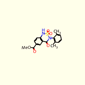 COC(=O)c1ccc2c(c1)C(=O)N(c1c(C)cccc1C)S(=O)(=O)N2